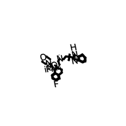 CC(C)[C@H]1c2ccc(F)cc2CC[C@@]1(CCN(C)CCC(C)(C)c1nc2ccccc2[nH]1)OC(=O)N1CCOCC1